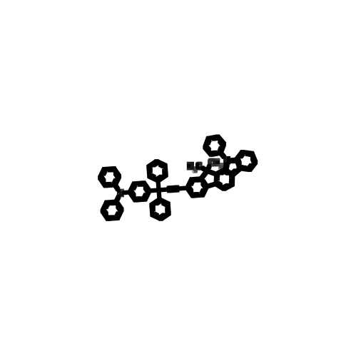 CC1(C)c2cc(C#CC(c3ccccc3)(c3ccccc3)c3ccc(N(c4ccccc4)c4ccccc4)cc3)ccc2-c2ccc3c4ccccc4n(-c4ccccc4)c3c21